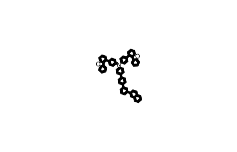 c1cc(-c2ccc(-c3ccc(N(c4ccc(-c5cccc6oc7ccccc7c56)cc4)c4ccc(-c5cccc6oc7ccccc7c56)cc4)cc3)cc2)cc(-c2ccc3ccccc3c2)c1